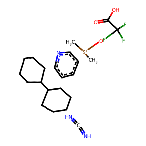 C1CCC(C2CCCCC2)CC1.C[S+](C)[O-].N=C=N.O=C(O)C(F)(F)F.c1ccncc1